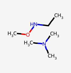 CCNOC.CN(C)C